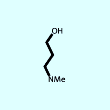 [CH2-][NH2+]CCCO